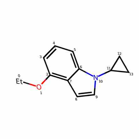 CCOc1c[c]cc2c1ccn2C1CC1